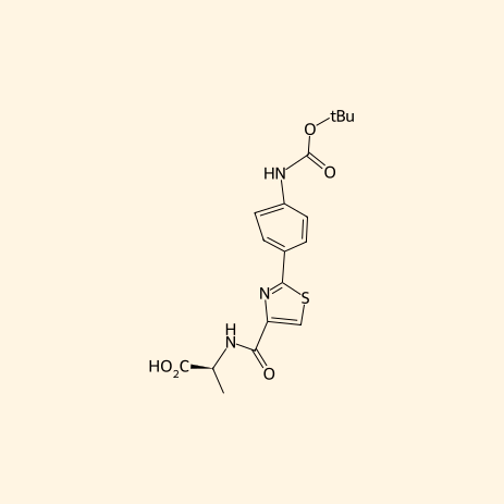 C[C@H](NC(=O)c1csc(-c2ccc(NC(=O)OC(C)(C)C)cc2)n1)C(=O)O